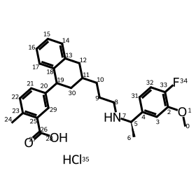 COc1cc([C@@H](C)NCCCC2Cc3ccccc3C(c3ccc(C)c(C(=O)O)c3)C2)ccc1F.Cl